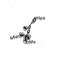 C=C(C)C(=O)OCc1cc(CCCOc2ccc(CCCCCC)cc2)ccc1-c1ccc(OCC(COC(=O)CC(=O)OC)(COC(=O)CC(=O)OC)COC(=O)C(=C)C)cc1